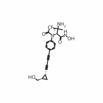 CC(C)(N)[C@@H](C(=O)NO)N(C(=O)C(F)(F)F)c1ccc(C#CC#C[C@@H]2C[C@H]2CO)cc1